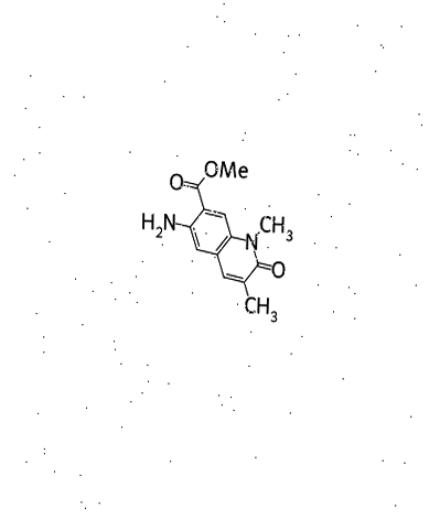 COC(=O)c1cc2c(cc1N)cc(C)c(=O)n2C